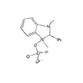 CC(C)C1N(C)c2ccccc2[N+]1(C)O[Cl+3]([O-])([O-])[O-]